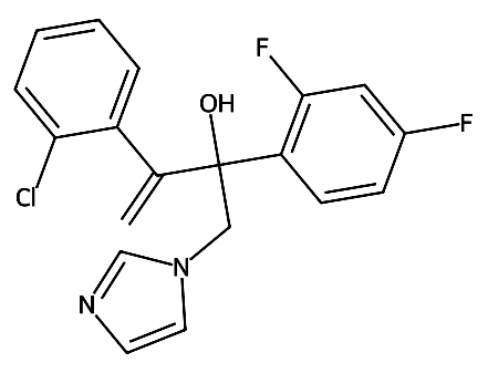 C=C(c1ccccc1Cl)C(O)(Cn1ccnc1)c1ccc(F)cc1F